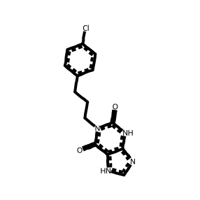 O=c1[nH]c2nc[nH]c2c(=O)n1CCCc1ccc(Cl)cc1